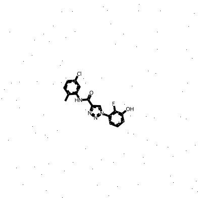 Cc1ccc(Cl)cc1NC(=O)c1cn(-c2cccc(O)c2F)nn1